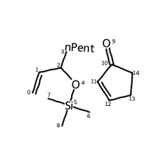 C=CC(CCCCC)O[Si](C)(C)C.O=C1C=CCC1